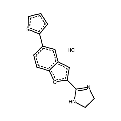 Cl.c1csc(-c2ccc3oc(C4=NCCN4)cc3c2)c1